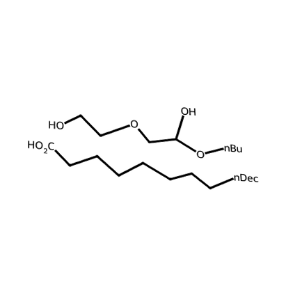 CCCCCCCCCCCCCCCCCC(=O)O.CCCCOC(O)COCCO